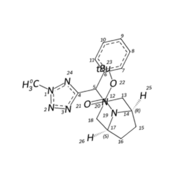 Cn1nnc(C(c2ccccc2)N2C[C@H]3CC[C@@H](C2)N3C(=O)OC(C)(C)C)n1